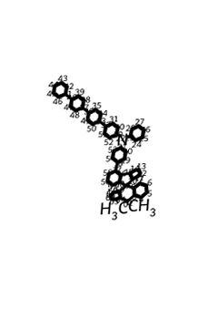 CC1(C)c2ccccc2C2(c3ccccc3-c3c(-c4ccc(N(c5ccccc5)c5ccc(-c6ccc(-c7ccc(-c8ccccc8)cc7)cc6)cc5)cc4)cccc32)c2ccccc21